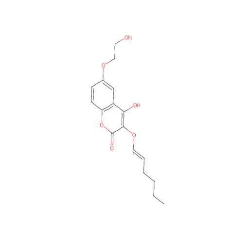 CCCCC=COc1c(O)c2cc(OCCO)ccc2oc1=O